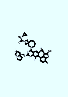 CN(C(=O)N1CC2(CCCCN(c3nc(OC[C@@]45CCCN4C[C@H](F)C5)nc4c(F)c(-c5ccc(F)c6sc(N)c(C#N)c56)c(Cl)cc34)C2)C1)C1CC1